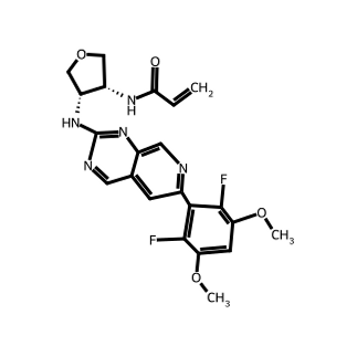 C=CC(=O)N[C@H]1COC[C@H]1Nc1ncc2cc(-c3c(F)c(OC)cc(OC)c3F)ncc2n1